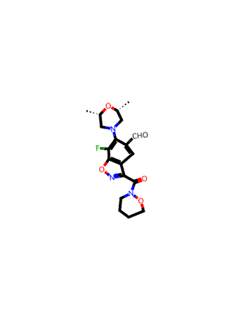 C[C@@H]1CN(c2c(C=O)cc3c(C(=O)N4CCCCO4)noc3c2F)C[C@H](C)O1